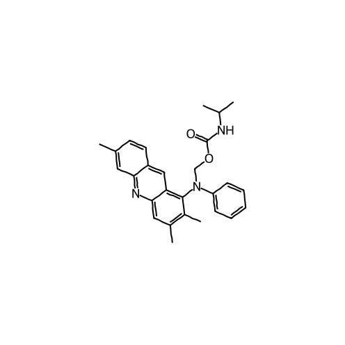 Cc1ccc2cc3c(N(COC(=O)NC(C)C)c4ccccc4)c(C)c(C)cc3nc2c1